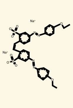 CCOc1ccc(N=Nc2ccc(/C=C\c3ccc(N=Nc4ccc(OCC)cc4)cc3S(=O)(=O)[O-])c(S(=O)(=O)[O-])c2)cc1.[Na+].[Na+]